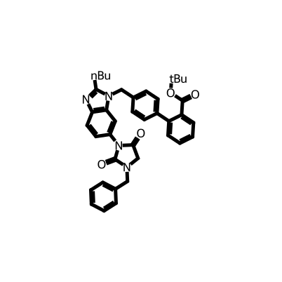 CCCCc1nc2ccc(N3C(=O)CN(Cc4ccccc4)C3=O)cc2n1Cc1ccc(-c2ccccc2C(=O)OC(C)(C)C)cc1